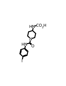 O=C(O)NC1CCN(C(=O)Nc2ccc(I)cc2)CC1